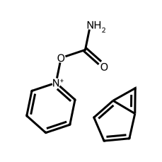 NC(=O)O[n+]1ccccc1.c1cc2cc-2c1